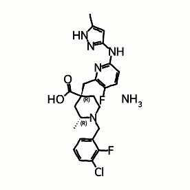 Cc1cc(Nc2ccc(F)c(C[C@@]3(C(=O)O)CCN(Cc4cccc(Cl)c4F)[C@H](C)C3)n2)n[nH]1.N